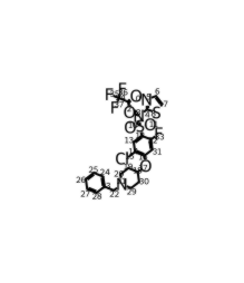 O=C(ON(c1nccs1)S(=O)(=O)c1cc(Cl)c(OC2CCN(Cc3ccccc3)CC2)cc1F)C(F)(F)F